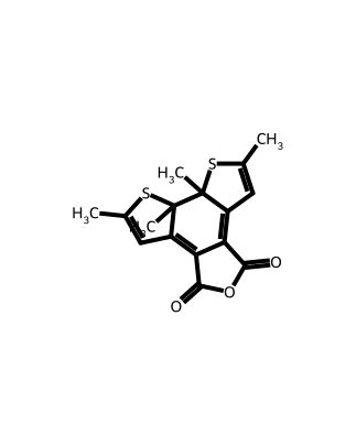 CC1=CC2=C3C(=O)OC(=O)C3=C3C=C(C)SC3(C)C2(C)S1